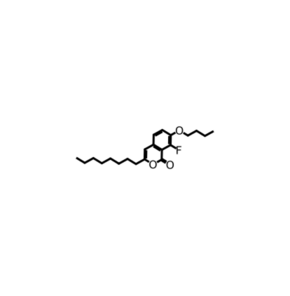 CCCCCCCCc1cc2ccc(OCCCC)c(F)c2c(=O)o1